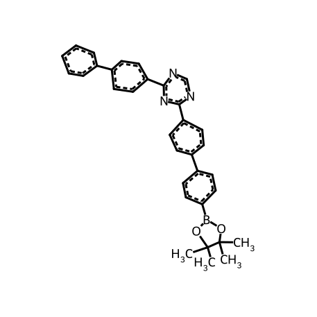 CC1(C)OB(c2ccc(-c3ccc(-c4ncnc(-c5ccc(-c6ccccc6)cc5)n4)cc3)cc2)OC1(C)C